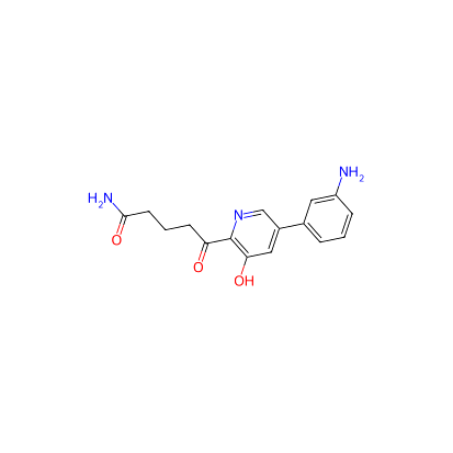 NC(=O)CCCC(=O)c1ncc(-c2cccc(N)c2)cc1O